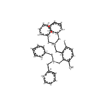 Cc1ccc(O)c(CN(Cc2ccccn2)Cc2ccccn2)c1CN(Cc1ccccn1)Cc1ccccn1